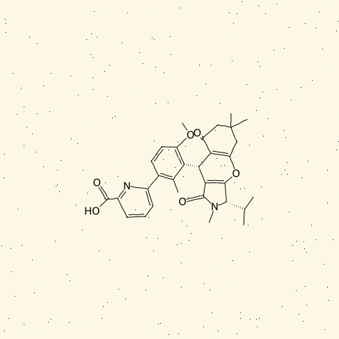 COc1ccc(-c2cccc(C(=O)O)n2)c(C)c1[C@@H]1C2=C(CC(C)(C)CC2=O)OC2=C1C(=O)N(C)[C@H]2C(C)C